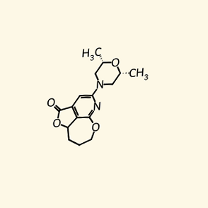 C[C@@H]1CN(c2cc3c4c(n2)OCCCC4OC3=O)C[C@H](C)O1